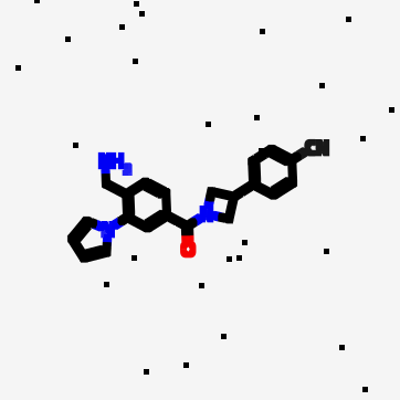 N#Cc1ccc(C2CN(C(=O)c3ccc(CN)c(-n4cccc4)c3)C2)cc1